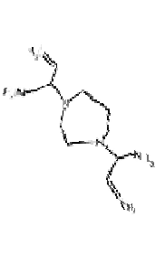 C=CC(N)N1CCN(C(N)C=C)CC1